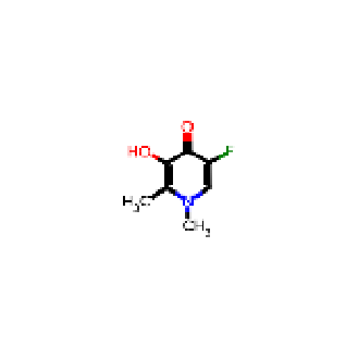 Cc1c(O)c(=O)c(F)cn1C